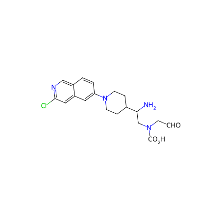 NC(CN(CC=O)C(=O)O)C1CCN(c2ccc3cnc(Cl)cc3c2)CC1